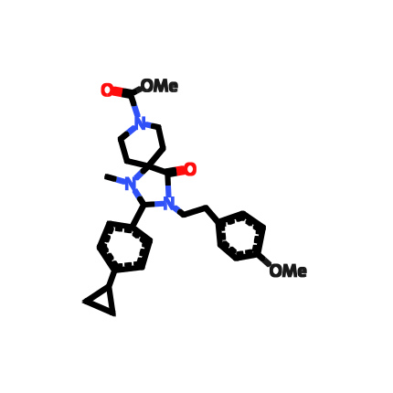 COC(=O)N1CCC2(CC1)C(=O)N(CCc1ccc(OC)cc1)C(c1ccc(C3CC3)cc1)N2C